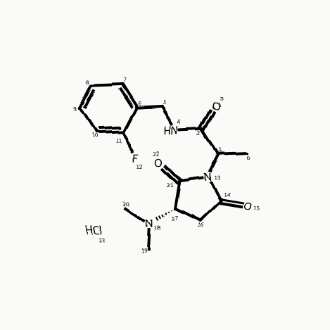 CC(C(=O)NCc1ccccc1F)N1C(=O)C[C@H](N(C)C)C1=O.Cl